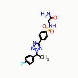 CC(c1ccc(F)cc1)n1nnc(-c2ccc(S(=O)(=O)NCC(N)=O)cc2)n1